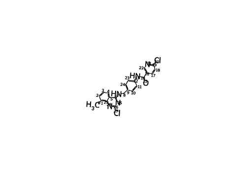 Cc1cccc2c(NCc3ccc(NC(=O)c4ccc(Cl)nc4)cc3)nc(Cl)nc12